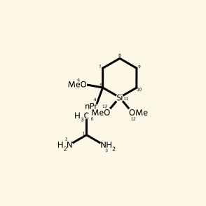 CC(N)N.CCCC1(OC)CCCC[Si]1(OC)OC